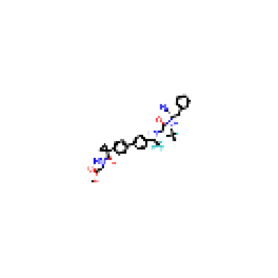 COC(=O)CNC(=O)C1(c2ccc(-c3ccc([C@H](N[C@@H](CC(C)(C)F)C(=O)N[C@H](C#N)Cc4ccccc4)C(F)(F)F)cc3)cc2)CC1